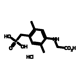 Cc1cc(NCC(=O)O)c(C)cc1CP(=O)(O)O.Cl